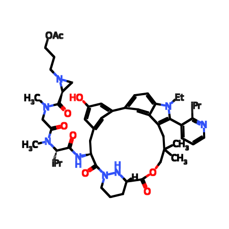 CCn1c(-c2cccnc2C(C)C)c2c3cc(ccc31)-c1cc(O)cc(c1)C[C@H](NC(=O)[C@H](C(C)C)N(C)C(=O)CN(C)C(=O)[C@@H]1CN1CCCOC(C)=O)C(=O)N1CCC[C@H](N1)C(=O)OCC(C)(C)C2